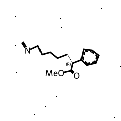 C=NCCCCC[C@@H](C(=O)OC)c1ccccc1